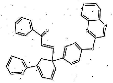 O=C(/C=C/C1(c2ccc(Oc3cnc4ccccc4n3)cc2)C=CC=C(c2ccccn2)C1)c1ccccc1